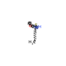 CCCCCCCCCCCCCc1n[nH]c(=S)n1-c1ccc(Oc2ccccc2)cc1